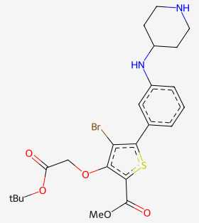 COC(=O)c1sc(-c2cccc(NC3CCNCC3)c2)c(Br)c1OCC(=O)OC(C)(C)C